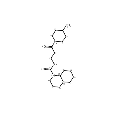 CC1CCN(C(=O)CCSC(=O)N2CCCC3CCCCC32)CC1